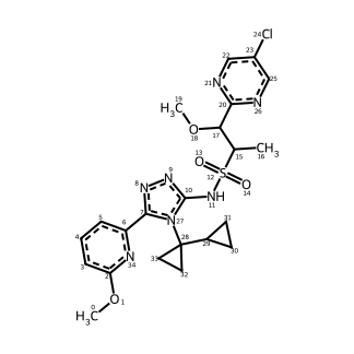 COc1cccc(-c2nnc(NS(=O)(=O)C(C)C(OC)c3ncc(Cl)cn3)n2C2(C3CC3)CC2)n1